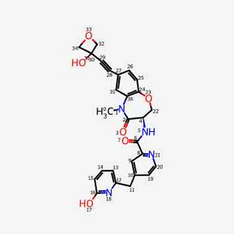 CN1C(=O)[C@H](NC(=O)c2cc(Cc3cccc(O)n3)ccn2)COc2ccc(C#CC3(O)COC3)cc21